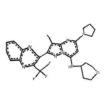 Cc1c(-c2nc3ccccc3nc2C(F)(F)F)nn2c(NC3CCOCC3)cc(N3CCCC3)nc12